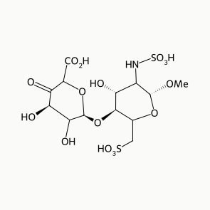 CO[C@@H]1OC(CS(=O)(=O)O)[C@@H](O[C@@H]2OC(C(=O)O)C(=O)[C@H](O)C2O)[C@H](O)C1NS(=O)(=O)O